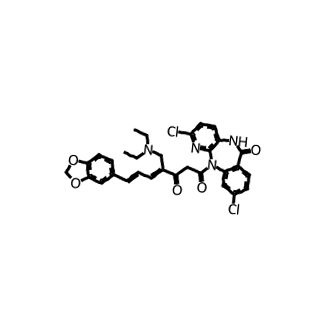 CCN(CC)CC(=CC=Cc1ccc2c(c1)OCO2)C(=O)CC(=O)N1c2cc(Cl)ccc2C(=O)Nc2ccc(Cl)nc21